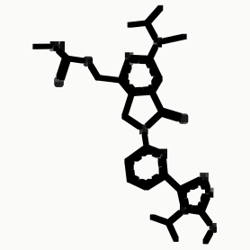 CNC(=O)OCc1nc(N(C)C(C)C)cc2c1CN(c1cccc(-c3nnc(SC)n3C(C)C)n1)C2=O